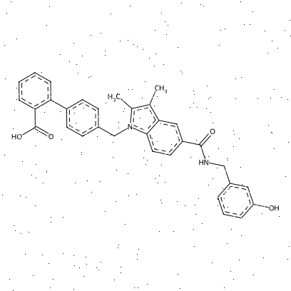 Cc1c(C)n(Cc2ccc(-c3ccccc3C(=O)O)cc2)c2ccc(C(=O)NCc3cccc(O)c3)cc12